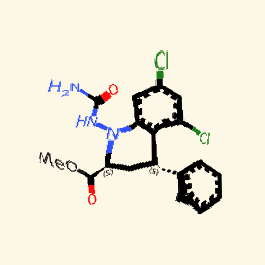 COC(=O)[C@@H]1C[C@@H](c2ccccc2)c2c(Cl)cc(Cl)cc2N1NC(N)=O